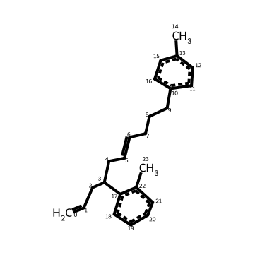 C=CCC(CC=CCCCc1ccc(C)cc1)c1ccccc1C